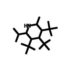 CC(C)C1NC(C)C(C(C)(C)C)C(C(C)(C)C)C1C(C)(C)C